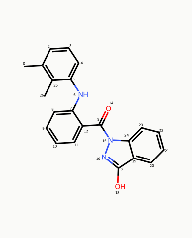 Cc1cccc(Nc2ccccc2C(=O)n2nc(O)c3ccccc32)c1C